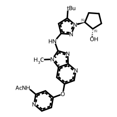 CC(=O)Nc1cc(Oc2cnc3nc(Nc4cc(C(C)(C)C)n([C@H]5CCC[C@@H]5O)n4)n(C)c3c2)ccn1